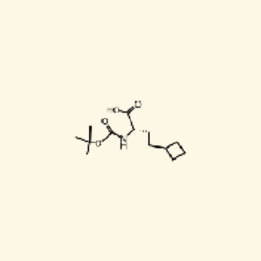 CC(C)(C)OC(=O)N[C@@H](CCC1CCC1)C(=O)O